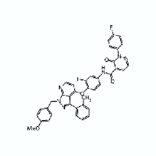 COc1ccc(Cn2nc(-c3ccccc3C)c3c(Oc4ccc(NC(=O)c5ccnn(-c6ccc(F)cc6)c5=O)cc4F)ccnc32)cc1